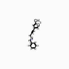 Cc1cc(C#CC/N=C/c2ccccc2)co1